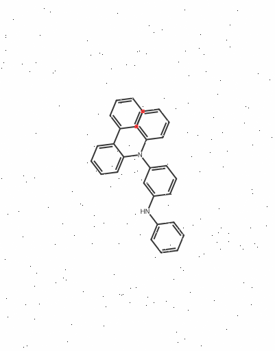 c1ccc(Nc2cccc(N(c3ccccc3)c3ccccc3-c3ccccc3)c2)cc1